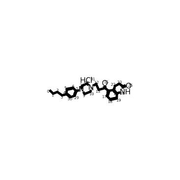 CCCCc1ccc(N2CCN(CCC(=O)c3cccc4c3CCC(=O)N4)CC2)cc1.Cl